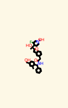 Cc1cc(CO)ccc1C(NC(=O)Cc1ccc2oc(C(C)(O)c3cc[n+](O)cc3F)cc2c1)c1ccccc1